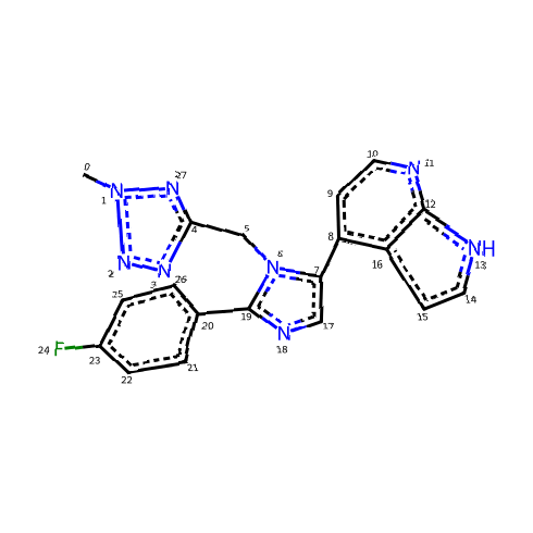 Cn1nnc(Cn2c(-c3ccnc4[nH]ccc34)cnc2-c2ccc(F)cc2)n1